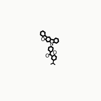 CC(C)c1ccc2oc3cc(-n4c5ccccc5c5cc6c(cc54)oc4ccccc46)ccc3c(=O)c2c1